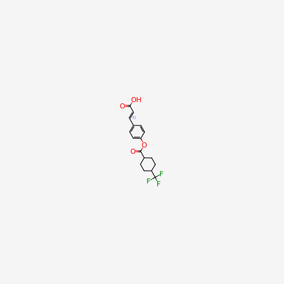 O=C(O)/C=C/c1ccc(OC(=O)C2CCC(C(F)(F)F)CC2)cc1